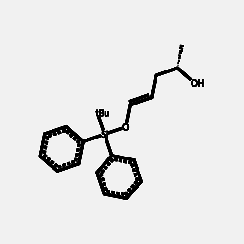 C[C@H](O)CC=CO[Si](c1ccccc1)(c1ccccc1)C(C)(C)C